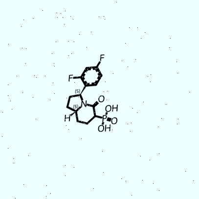 O=C1C(P(=O)(O)O)CC[C@@H]2CC[C@@H](c3ccc(F)cc3F)N12